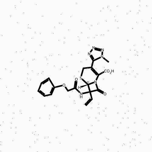 C=CC1(NC(=O)COc2ccccc2)C(=O)N2C(C(=O)O)=C(c3nnnn3C)CS[C@H]21